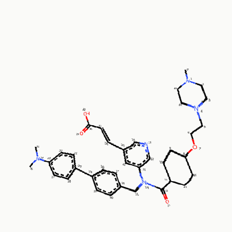 CN1CCN(CCOC2CCC(C(=O)N(Cc3ccc(-c4ccc(N(C)C)cc4)cc3)c3cncc(C=CC(=O)O)c3)CC2)CC1